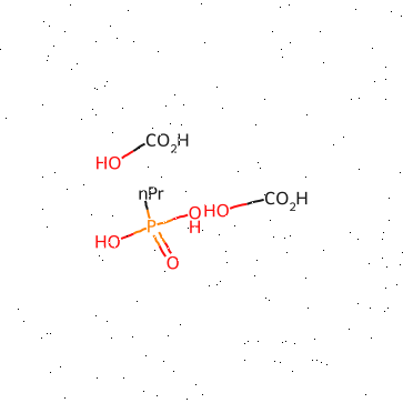 CCCP(=O)(O)O.O=C(O)O.O=C(O)O